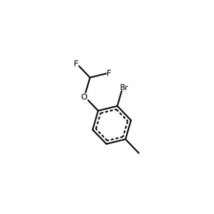 Cc1ccc(OC(F)F)c(Br)c1